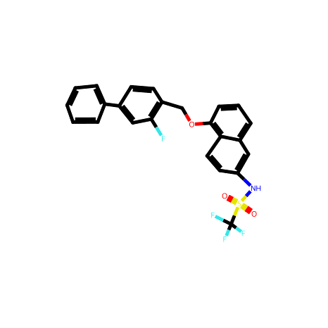 O=S(=O)(Nc1ccc2c(OCc3ccc(-c4ccccc4)cc3F)cccc2c1)C(F)(F)F